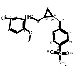 COc1ccc(Cl)cc1NC[C@H]1C[C@@H]1Cc1ccc(S(N)(=O)=O)cc1